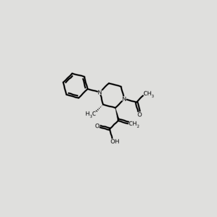 C=C(C(=O)O)[C@H]1[C@H](C)N(c2ccccc2)CCN1C(C)=O